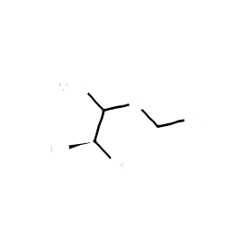 CCCCCOC(OC)[C@H](C)O